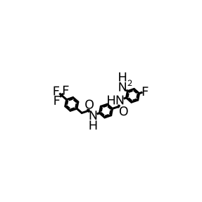 Nc1cc(F)ccc1NC(=O)c1ccc(NC(=O)Cc2ccc(C(F)(F)F)cc2)cc1